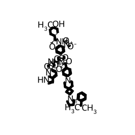 CC(C)c1ccccc1[C@@H]1CCCN1C1CC2(CCN(c3ccc(C(=O)NS(=O)(=O)c4cc5c(c([N+](=O)[O-])c4)N[C@@H]([C@H]4CC[C@](C)(O)CC4)CO5)c(Oc4cc5cc[nH]c5nc4S(N)(=O)=O)c3)CC2)C1